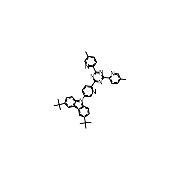 Cc1ccc(-c2nc(-c3ccc(C)cn3)nc(-c3ccc(-n4c5ccc(C(C)(C)C)cc5c5cc(C(C)(C)C)ccc54)cn3)n2)nc1